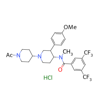 COc1ccc(C2CN(C3CCN(C(C)=O)CC3)CCC2N(C)C(=O)c2cc(C(F)(F)F)cc(C(F)(F)F)c2)cc1.Cl